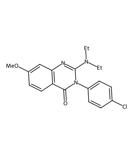 CCN(CC)c1nc2cc(OC)ccc2c(=O)n1-c1ccc(Cl)cc1